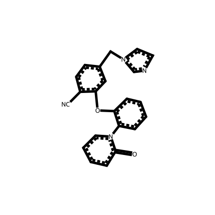 N#Cc1ccc(Cn2ccnc2)cc1Oc1ccccc1-n1ccccc1=O